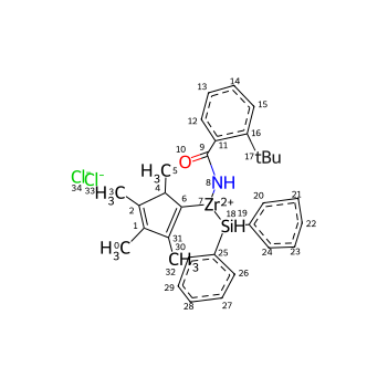 CC1=C(C)C(C)[C]([Zr+2]([NH]C(=O)c2ccccc2C(C)(C)C)[SiH](c2ccccc2)c2ccccc2)=C1C.[Cl-].[Cl-]